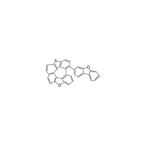 c1ccc2c(c1)oc1cc(-c3ccc4sc5ccc6ccc7oc8cccc9c8c7c6c5c4c3-9)ccc12